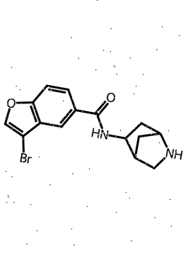 O=C(NC1CC2CC1CN2)c1ccc2occ(Br)c2c1